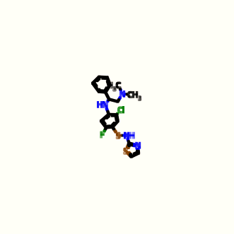 CN(C)CC(Nc1cc(F)c(SNc2nccs2)cc1Cl)c1ccccc1